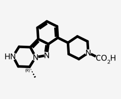 C[C@@H]1CNCc2c3cccc(C4CCN(C(=O)O)CC4)c3nn21